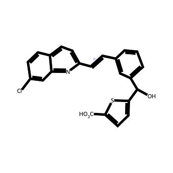 O=C(O)c1ccc(C(O)c2cccc(/C=C/c3ccc4ccc(Cl)cc4n3)c2)s1